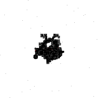 CC[C@H](C)[C@H](NC(=O)[C@H](CCSC)NC(=O)[C@H](C)NC(=O)[C@@H]1CCCN1C(=O)[C@@H](NC(=O)[C@@H](NC(=O)[C@H](CCCCN)NC(=O)[C@@H](NC(=O)[C@H](CC(C)C)NC(=O)CNC(=O)CNC(=O)[C@H](CC(C)C)NC(=O)[C@@H](N)Cc1ccccc1)[C@@H](C)CC)[C@@H](C)CC)C(C)C)C(=O)N[C@H]1CSSC[C@@H](C(=O)O)NC(=O)[C@H](CCCCN)NC(=O)[C@H](CCCCN)NC(=O)[C@H]([C@@H](C)O)NC(=O)[C@H](C(C)C)NC(=O)[C@H](C)NC1=O